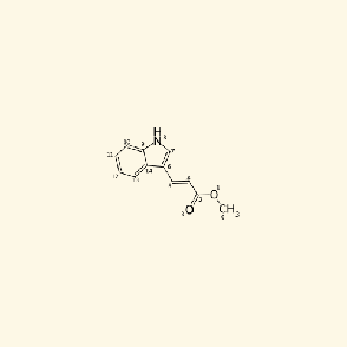 COC(=O)/C=C/c1c[nH]c2ccccc12